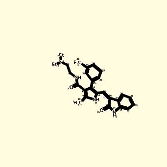 CCN(CC)CCNC(=O)c1c(C)[nH]c(/C=C2\C(=O)Nc3ccccc32)c1-c1cccc(C(F)(F)F)c1